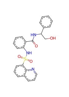 O=C(NC(CO)c1ccccc1)c1ccccc1NS(=O)(=O)c1cccc2cccnc12